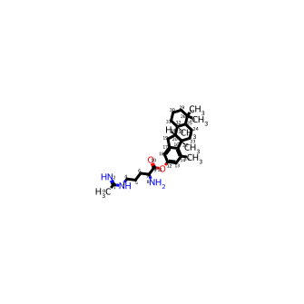 CC(=N)NCCCC(N)C(=O)Oc1cc(C)c2c(c1)C[C@H]1[C@@]2(C)CCC2C(C)(C)CCC[C@@]21C